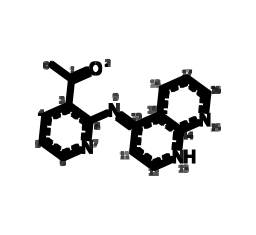 CC(=O)c1cccnc1/N=c1\cc[nH]c2ncccc12